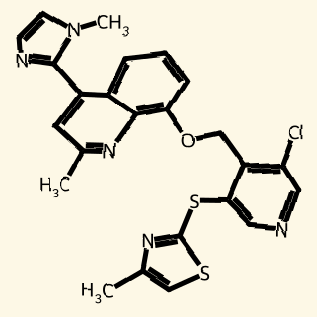 Cc1csc(Sc2cncc(Cl)c2COc2cccc3c(-c4nccn4C)cc(C)nc23)n1